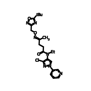 CCN(C(=O)CC/C(C)=N/OCc1noc(C(C)(C)C)n1)c1cn(-c2cccnc2)nc1Cl